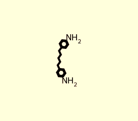 Nc1ccc(CCCCCc2ccc(N)cc2)cc1